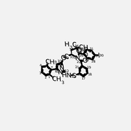 Cc1cccc(C)c1-c1cc2nc(n1)NSc1cccc(c1)C(=O)N(Cc1ccc(I)cc1)[C@H](CC(C)(C)C)CO2